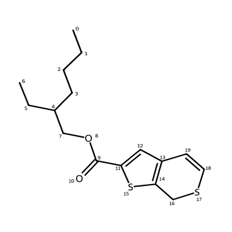 CCCCC(CC)COC(=O)c1cc2c(s1)CSC=C2